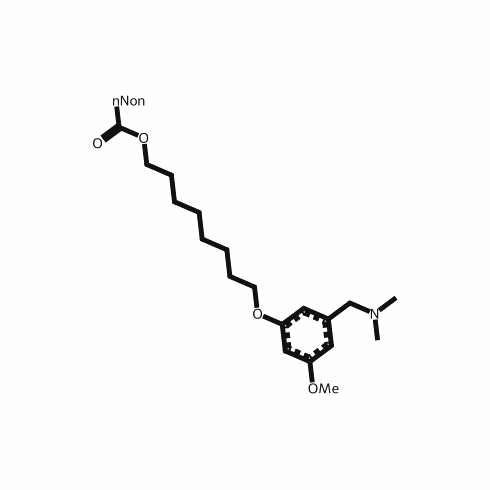 CCCCCCCCCC(=O)OCCCCCCCCOc1cc(CN(C)C)cc(OC)c1